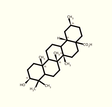 C[C@H]1CCC2(C(=O)O)CC[C@@]3(C)C(CCC4[C@@]5(C)CC[C@H](O)C(C)(C)C5CC[C@]43C)[C@@H]2C1